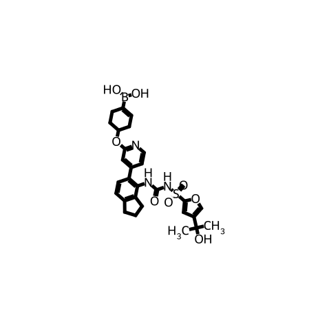 CC(C)(O)c1coc(S(=O)(=O)NC(=O)Nc2c(-c3ccnc(OC4CC=C(B(O)O)CC4)c3)ccc3c2CCC3)c1